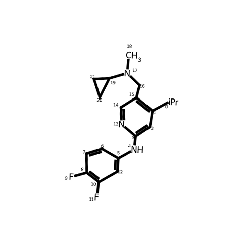 CC(C)c1cc(Nc2ccc(F)c(F)c2)ncc1CN(C)C1CC1